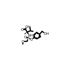 COCP(=O)(N[C@](C)(C(=O)O)C(C)C)Oc1ccc(CO)cc1